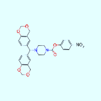 O=C(Oc1ccc([N+](=O)[O-])cc1)N1CCN(C(c2ccc3c(c2)COCO3)c2ccc3c(c2)COCO3)CC1